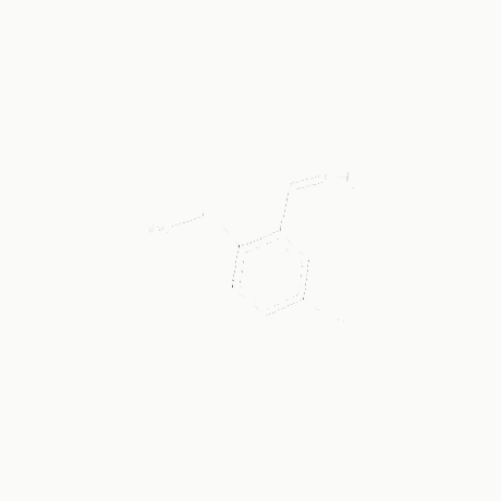 C=Cc1cc(Br)ccc1OCCCC